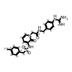 N=C(N)Nc1ccc(CNC(=O)Cn2cccc(NS(=O)(=O)Cc3ccc(I)cc3)c2=O)cc1